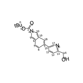 CC(C)(C)OC(=O)n1cc2ccc(-c3ccc(CO)nc3)cc2c1